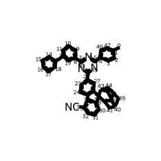 Cc1ccc(-c2nc(-c3cccc(-c4ccccc4)c3)nc(-c3ccc4c(c3)C3(c5cccc(C#N)c5-4)C4CC5CC(C4)CC3C5)n2)cc1